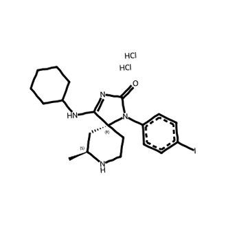 C[C@H]1C[C@]2(CCN1)C(NC1CCCCC1)=NC(=O)N2c1ccc(I)cc1.Cl.Cl